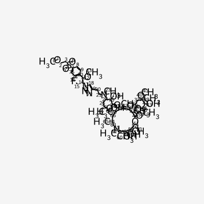 COCCS(=O)(=O)c1ccc([C@@H](OC)[C@@H](CF)n2cc(CCN(C)[C@H]3C[C@@H](C)O[C@@H](O[C@@H]4[C@@H](C)[C@H](O[C@H]5C[C@@](C)(OC)[C@@H](O)[C@H](C)O5)[C@@H](C)C(=O)O[C@H](I)[C@@](C)(O)[C@H](O)[C@@H](C)N(C)C[C@H](C)C[C@@]4(C)O)[C@@H]3O)nn2)cc1